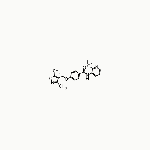 Cc1ncccc1NC(=O)c1ccc(OCc2c(C)noc2C)cc1